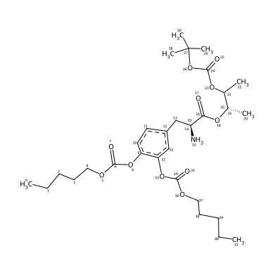 CCCCCOC(=O)Oc1ccc(C[C@H](N)C(=O)O[C@@H](C)C(C)OC(=O)OC(C)(C)C)cc1OC(=O)OCCCCC